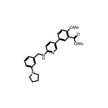 COC(=O)c1cc(-c2ccc(NCc3cccc(N4CCCC4)c3)nc2)ccc1OC